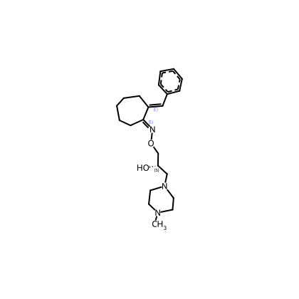 CN1CCN(C[C@H](O)CO/N=C2\CCCCC\C2=C/c2ccccc2)CC1